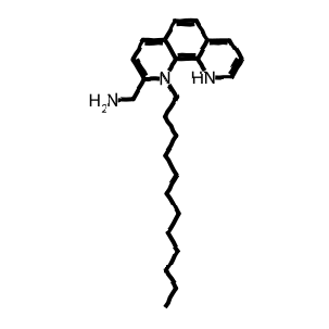 CCCCCCCCCCCCN1C(CN)=CC=c2ccc3c(c21)NC=CC=3